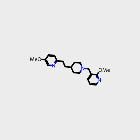 COc1ccc(CCC2CCN(Cc3cccnc3OC)CC2)nc1